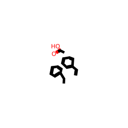 C=Cc1ccccc1.CC(=O)O.CCc1ccccc1